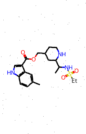 CCS(=O)(=O)NC(C)C1CC(COC(=O)c2c[nH]c3ccc(C)cc23)CCN1